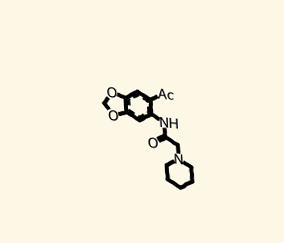 CC(=O)c1cc2c(cc1NC(=O)CN1CCCCC1)OCO2